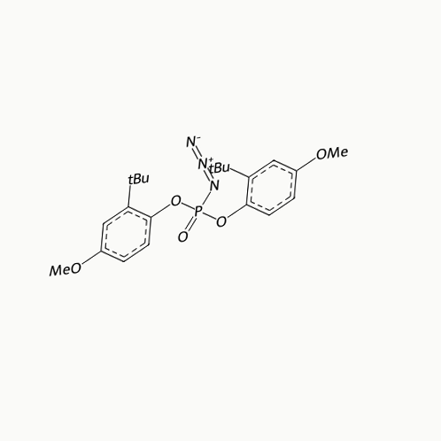 COc1ccc(OP(=O)(N=[N+]=[N-])Oc2ccc(OC)cc2C(C)(C)C)c(C(C)(C)C)c1